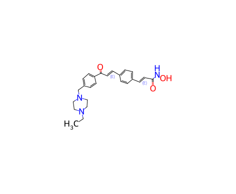 CCN1CCN(Cc2ccc(C(=O)/C=C/c3ccc(/C=C/C(=O)NO)cc3)cc2)CC1